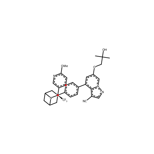 COc1ccc([C@H](N2C3CC2CN(c2ccc(-c4cc(OCC(C)(C)O)cn5ncc(C#N)c45)cn2)C3)C(F)(F)F)cn1